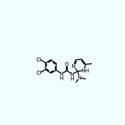 CC1=CC=NC(NC(=O)Nc2ccc(Cl)c(Cl)c2)(N(C)C)N1